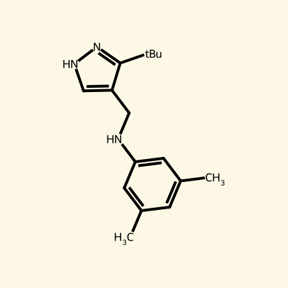 Cc1cc(C)cc(NCc2c[nH]nc2C(C)(C)C)c1